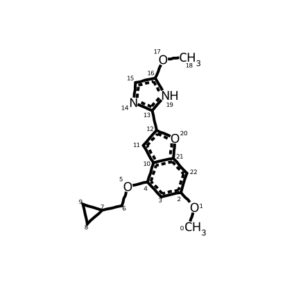 COc1cc(OCC2CC2)c2cc(-c3ncc(OC)[nH]3)oc2c1